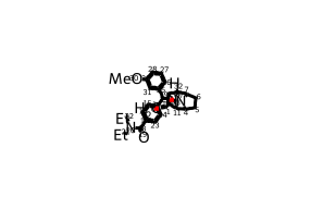 C=CCN1C2CCC1[C@H]1CCC2N1C(c1ccc(C(=O)N(CC)CC)cc1)c1cccc(OC)c1